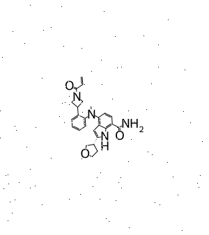 C=CC(=O)N1CC(c2ccccc2N(C)c2ccc(C(N)=O)c3[nH]c([C@@H]4CCOC4)cc23)C1